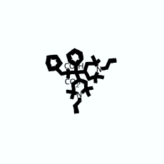 C=CCN1C(C)(C)CC(C(c2ccccc2)(C2CC(C)(C)N(CC=C)C(C)(C)C2)C(Cc2ccccc2)(C(=O)O)C(=O)O)CC1(C)C